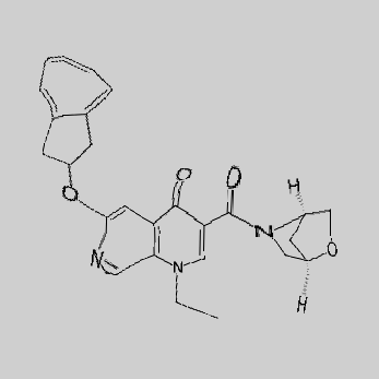 CCn1cc(C(=O)N2C[C@H]3C[C@@H]2CO3)c(=O)c2cc(OC3Cc4ccccc4C3)ncc21